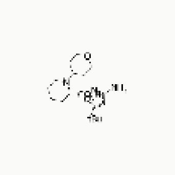 CC(C)(C)c1cc(N)no1.O=C(O)[C@@H]1CCCCN1C1CCOCC1